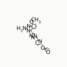 COc1cccc2c(-c3cn(Cc4cccc(CO[C@@H]5CCOC5)n4)nn3)nc(N)nc12